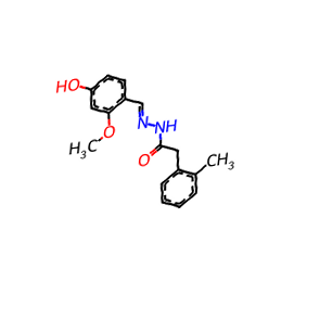 COc1cc(O)ccc1/C=N/NC(=O)Cc1ccccc1C